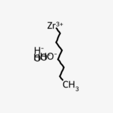 CCCCCC[CH2][Zr+3].[OH-].[OH-].[OH-]